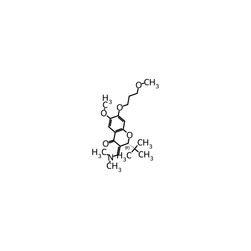 COCCCOc1cc2c(cc1OC)C(=O)C(=CN(C)C)[C@@H](C(C)(C)C)O2